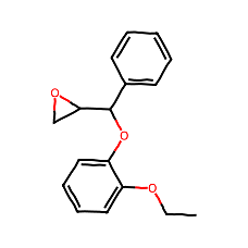 CCOc1ccccc1OC(c1ccccc1)C1CO1